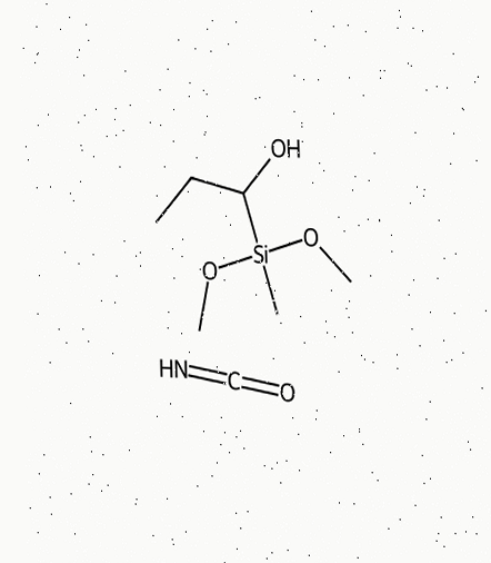 CCC(O)[Si](C)(OC)OC.N=C=O